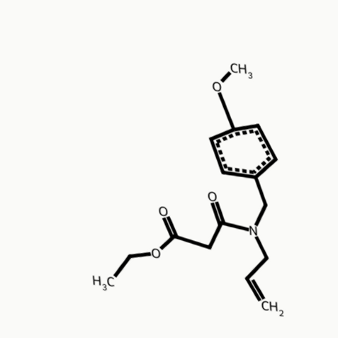 C=CCN(Cc1ccc(OC)cc1)C(=O)CC(=O)OCC